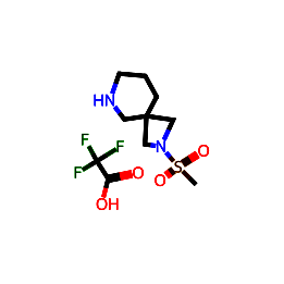 CS(=O)(=O)N1CC2(CCCNC2)C1.O=C(O)C(F)(F)F